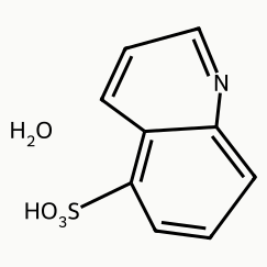 O.O=S(=O)(O)c1cccc2ncccc12